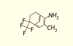 Cc1cc2cc(c1N)CCC2(F)C(F)(F)F